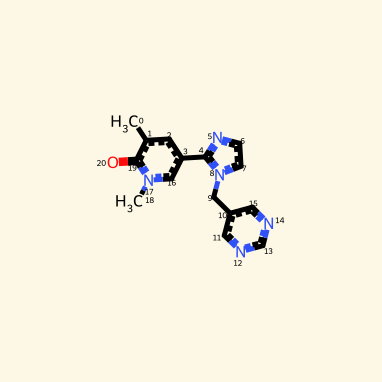 Cc1cc(-c2nccn2Cc2cncnc2)cn(C)c1=O